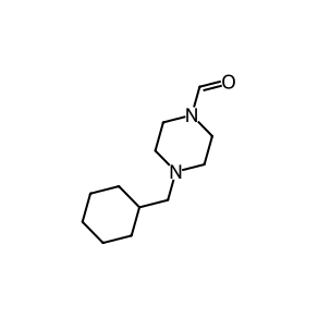 O=CN1CCN(CC2CCCCC2)CC1